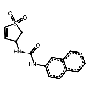 O=C(Nc1ccc2ccccc2c1)NC1C=CS(=O)(=O)C1